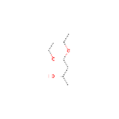 CC(O)CC1OCCC(C)O1